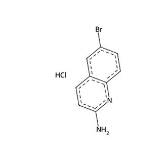 Cl.Nc1ccc2cc(Br)ccc2n1